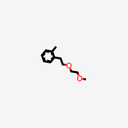 COCCOCCc1ccccc1C